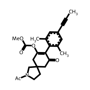 CC#Cc1cc(C)c(C2=C(OC(=O)OC)CC3(CCN(C(C)=O)C3)CC2=O)c(C)c1